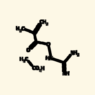 C=C(C)C(=O)ONC(=N)N.CC(=O)O